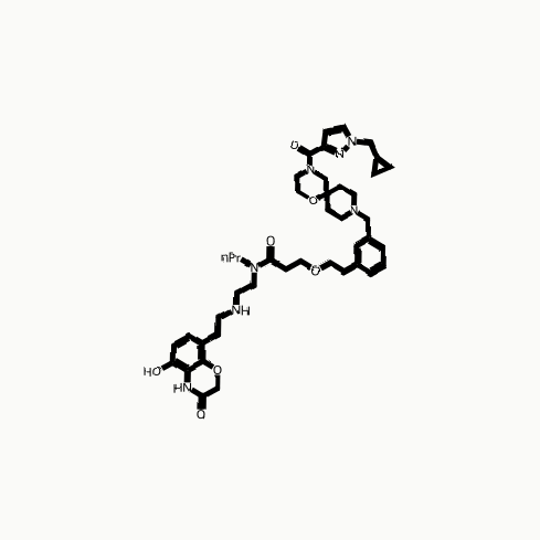 CCCN(CCNCCc1ccc(O)c2c1OCC(=O)N2)C(=O)CCOCCc1cccc(CN2CCC3(CC2)CN(C(=O)c2ccn(CC4CC4)n2)CCO3)c1